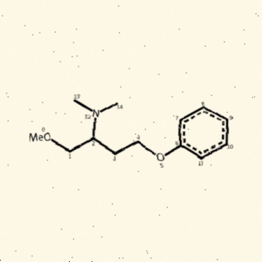 COCC(CCOc1ccccc1)N(C)C